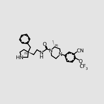 C[C@@H]1CN(c2ccc(OC(F)(F)F)c(C#N)c2)CCN1C(=O)NCC[C@]1(Cc2ccccc2)CCNC1